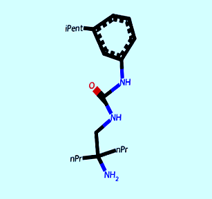 CCCC(C)c1cccc(NC(=O)NCC(N)(CCC)CCC)c1